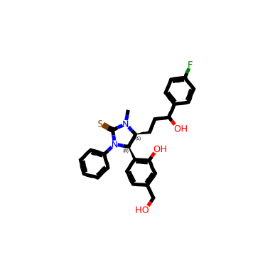 CN1C(=S)N(c2ccccc2)[C@H](c2ccc(CO)cc2O)[C@@H]1CCC(O)c1ccc(F)cc1